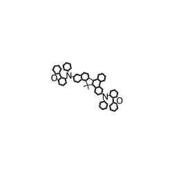 CC1(C)c2c(ccc3cc(N(c4ccccc4)c4cccc5oc6ccccc6c45)ccc23)-c2c1c1ccc(N(c3ccccc3)c3cccc4oc5ccccc5c34)cc1c1ccccc21